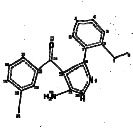 CCc1ccccc1-c1n[nH]c(N)c1C(=O)c1cccc(I)c1